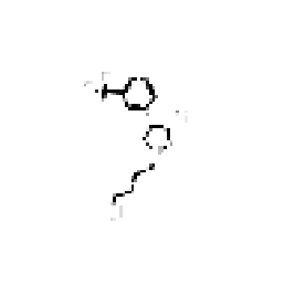 CCCCCN1C[C@@H](N)[C@H](c2cccc(C(F)(F)F)c2)C1